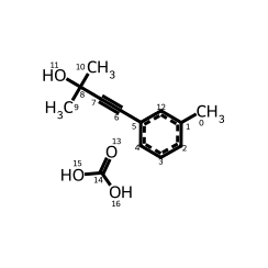 Cc1cccc(C#CC(C)(C)O)c1.O=C(O)O